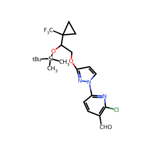 CC(C)(C)[Si](C)(C)OC(COc1ccn(-c2ccc(C=O)c(Cl)n2)n1)C1(C(F)(F)F)CC1